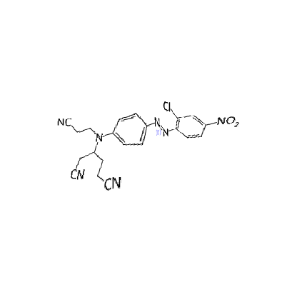 N#CCCC(CC#N)N(CCC#N)c1ccc(/N=N/c2ccc([N+](=O)[O-])cc2Cl)cc1